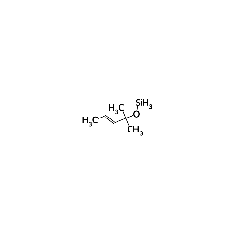 CC=CC(C)(C)O[SiH3]